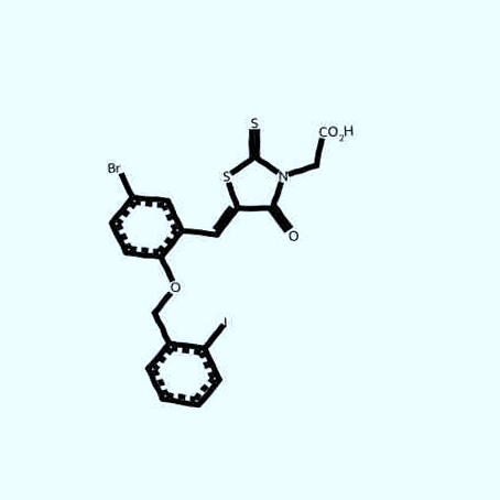 O=C(O)CN1C(=O)C(=Cc2cc(Br)ccc2OCc2ccccc2I)SC1=S